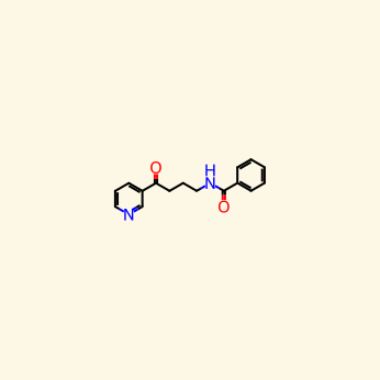 O=C(CCCNC(=O)c1ccccc1)c1cccnc1